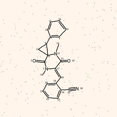 CN1C(=O)C2(CC2c2ccccc2)N(C)C(=O)/C1=C/c1ccccc1C#N